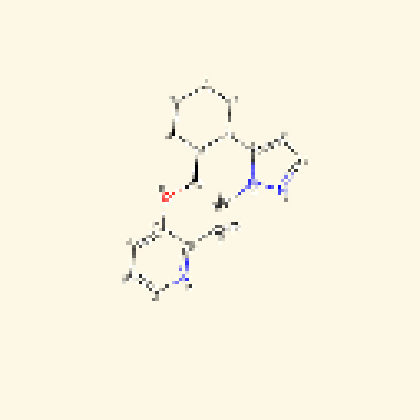 CCCn1nccc1C1CCCC[C@@H]1COc1cccnc1C=O